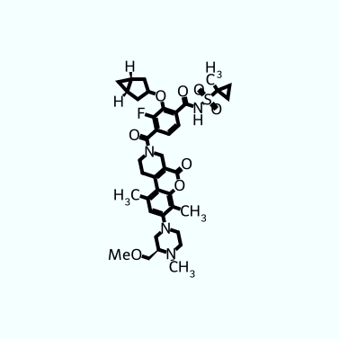 COC[C@H]1CN(c2cc(C)c3c4c(c(=O)oc3c2C)CN(C(=O)c2ccc(C(=O)NS(=O)(=O)C3(C)CC3)c(OC3C[C@@H]5C[C@@H]5C3)c2F)CC4)CCN1C